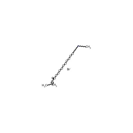 CCCCCCCC/C=C\CCCCCCCCOCCOCCOCCOCCOCCOCCOCCOCCOCCOCCOC(=O)CCN1CC[N+](C)(CCCCCC)CC1.[Br-]